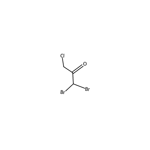 O=C(CCl)C(Br)Br